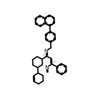 C=N/C(=C\C(=N/Cc1ccc(-c2cccc3ccccc23)cc1)C1CCCC(C2C=CCCC2)C1)c1ccccc1